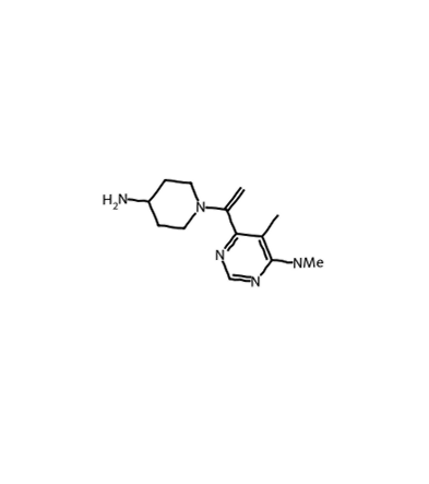 C=C(c1ncnc(NC)c1C)N1CCC(N)CC1